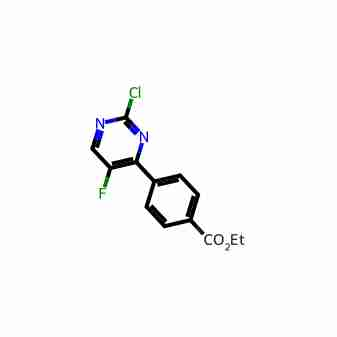 CCOC(=O)c1ccc(-c2nc(Cl)ncc2F)cc1